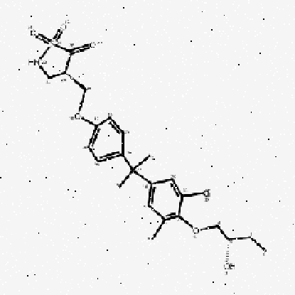 CC[C@H](O)COc1c(C)cc(C(C)(C)c2ccc(OC[C@H]3CNS(=O)(=O)C3=O)cc2)cc1Cl